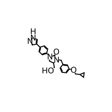 O=C1N(c2ccc(-c3cn[nH]c3)cc2)CC(CO)N1Cc1cccc(OCC2CC2)c1